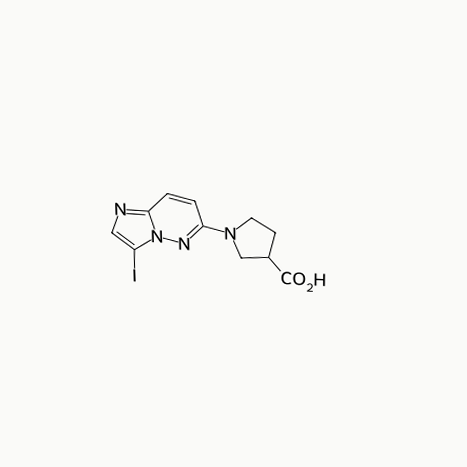 O=C(O)C1CCN(c2ccc3ncc(I)n3n2)C1